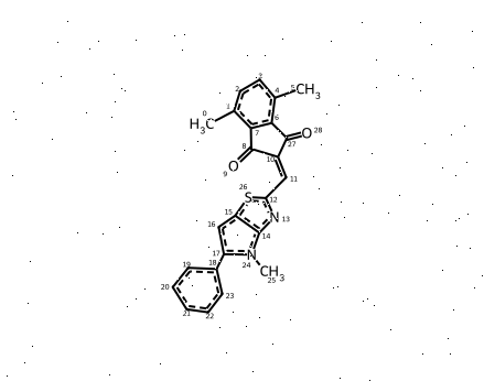 Cc1ccc(C)c2c1C(=O)C(=Cc1nc3c(cc(-c4ccccc4)n3C)s1)C2=O